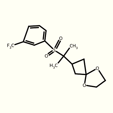 CC(C)(C1CC2(C1)OCCO2)S(=O)(=O)c1cccc(C(F)(F)F)c1